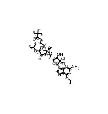 CCOc1nc(N)nc2c1ncn2[C@@H]1O[C@H](COP(=O)(N[C@H](C)C(=O)OC(C)C)OCCSC(=O)C(C)(C)C)[C@@H](O)C1(Cl)Cl